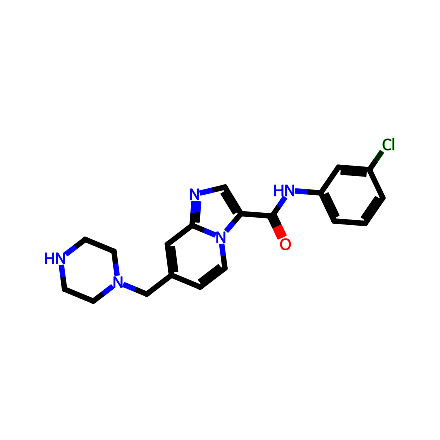 O=C(Nc1cccc(Cl)c1)c1cnc2cc(CN3CCNCC3)ccn12